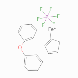 F[P-](F)(F)(F)(F)F.[Fe+][C]1=CC=CC1.c1ccc(Oc2ccccc2)cc1